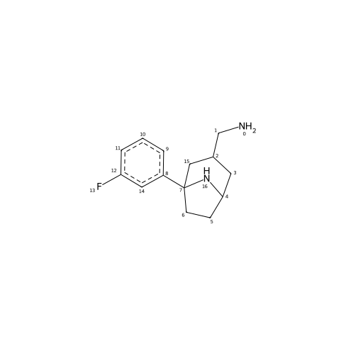 NCC1CC2CCC(c3cccc(F)c3)(C1)N2